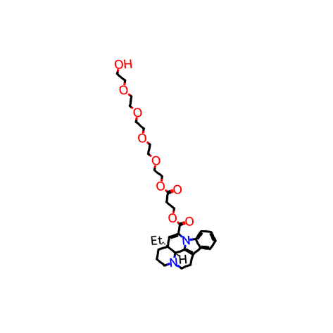 CC[C@@]12C=C(C(=O)OCCC(=O)OCCOCCOCCOCCOCCO)n3c4c(c5ccccc53)CCN(CCC1)[C@H]42